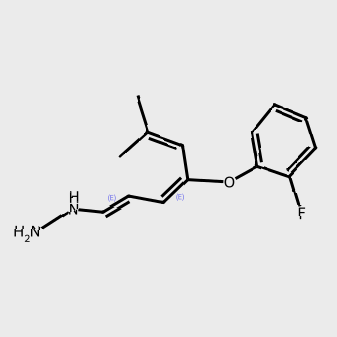 CC(C)=C/C(=C\C=C\NN)Oc1ccccc1F